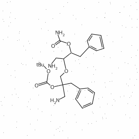 CC(C)(C)OC(=O)OC(CN)(COC(CN)C(Cc1ccccc1)OC(N)=O)Cc1ccccc1